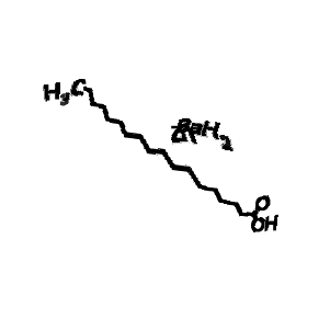 CCCCCCCCCCCCCCCCCC(=O)O.[BaH2].[Zn]